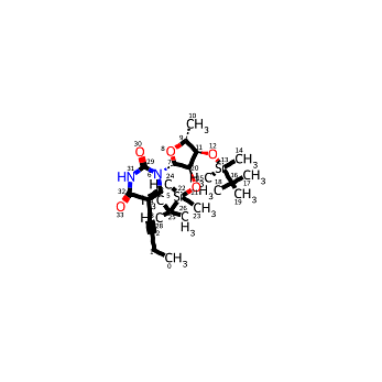 CCC#Cc1cn([C@@H]2O[C@H](C)[C@@H](O[Si](C)(C)C(C)(C)C)[C@H]2O[Si](C)(C)C(C)(C)C)c(=O)[nH]c1=O